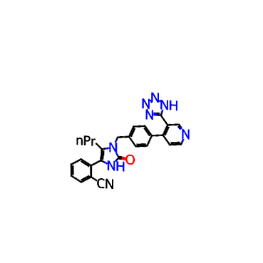 CCCc1c(-c2ccccc2C#N)[nH]c(=O)n1Cc1ccc(-c2ccncc2-c2nnn[nH]2)cc1